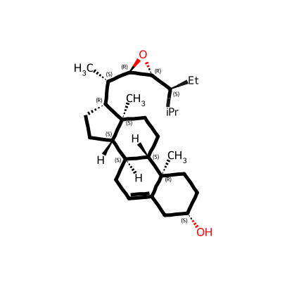 CC[C@@H](C(C)C)[C@H]1O[C@@H]1[C@@H](C)[C@H]1CC[C@H]2[C@@H]3CC=C4C[C@@H](O)CC[C@]4(C)[C@H]3CC[C@]12C